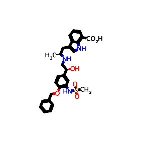 C[C@H](Cc1c[nH]c2c(C(=O)O)cccc12)NC[C@@H](O)c1ccc(OCc2ccccc2)c(NS(C)(=O)=O)c1